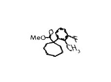 COC(=O)C1(c2cccc(F)c2C)CCCCCC1